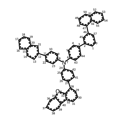 c1cc(-c2ccc(N(c3ccc(-c4ccc5ccccc5c4)cc3)c3ccc(-c4cccc5c4oc4ccccc45)cc3)cc2)cc(-c2cccc3ccccc23)c1